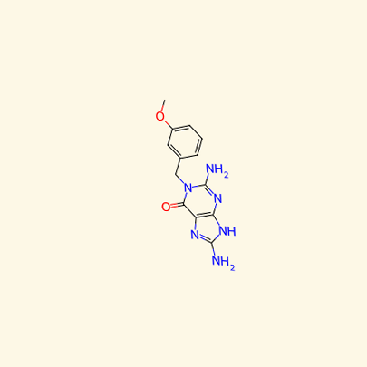 COc1cccc(Cn2c(N)nc3[nH]c(N)nc3c2=O)c1